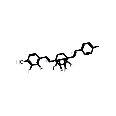 Cc1ccc(/C=C/C23CCC(/C=C/c4ccc(O)c(F)c4F)(CC2)C(F)(F)C3(F)F)cc1